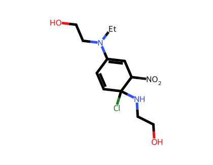 CCN(CCO)C1=CC([N+](=O)[O-])C(Cl)(NCCO)C=C1